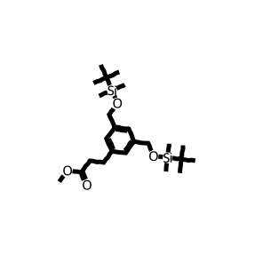 COC(=O)CCc1cc(CO[Si](C)(C)C(C)(C)C)cc(CO[Si](C)(C)C(C)(C)C)c1